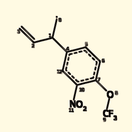 [CH2]C(C=C)c1ccc(OC(F)(F)F)c([N+](=O)[O-])c1